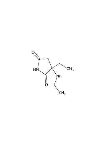 CCNC1(CC)CC(=O)NC1=O